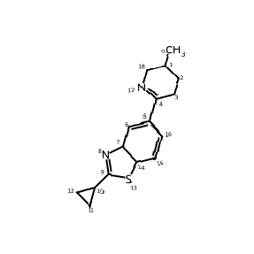 CC1CCC(C2=CC3N=C(C4CC4)SC3C=C2)=NC1